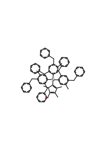 CC1=C(C)C(C)C([Si](c2cc(C)c(Cc3ccccc3)cc2Cc2ccccc2)(c2cc(C)c(Cc3ccccc3)cc2Cc2ccccc2)c2cc(C)c(Cc3ccccc3)cc2Cc2ccccc2)=C1C